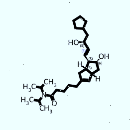 CC(C)N(C(=O)CCCCC1=C[C@H]2C[C@@H](O)[C@H](/C=C/[C@@H](O)CC3CCCC3)[C@H]2C1)C(C)C